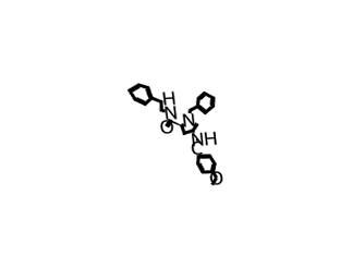 COc1ccc(CN[C@H]2C[C@@H](C(=O)NCCc3ccccc3)N(Cc3ccccc3)C2)cc1